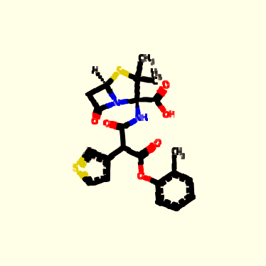 Cc1ccccc1OC(=O)C(C(=O)N[C@@]1(C(=O)O)N2C(=O)C[C@H]2SC1(C)C)c1ccsc1